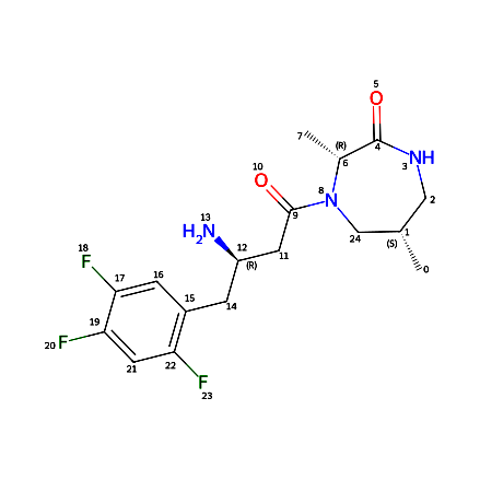 C[C@H]1CNC(=O)[C@@H](C)N(C(=O)C[C@H](N)Cc2cc(F)c(F)cc2F)C1